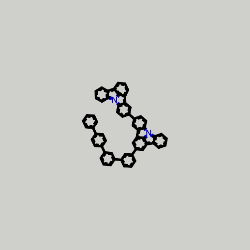 c1ccc(-c2ccc(-c3cccc(-c4cccc(-c5cc6c7ccccc7n7c8ccc(-c9ccc%10c(c9)c9cccc%11c%12ccccc%12n%10c%119)cc8c(c5)c67)c4)c3)cc2)cc1